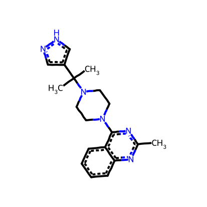 Cc1nc(N2CCN(C(C)(C)c3cn[nH]c3)CC2)c2ccccc2n1